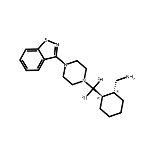 [2H]C([2H])([C@@H]1CCCC[C@H]1CN)N1CCN(c2nsc3ccccc23)CC1